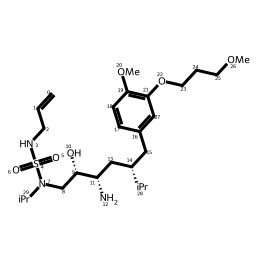 C=CCNS(=O)(=O)N(C[C@H](O)[C@@H](N)C[C@H](Cc1ccc(OC)c(OCCCOC)c1)C(C)C)C(C)C